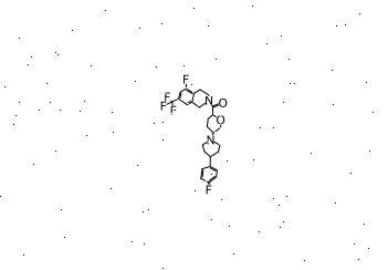 O=C(C1CCC(N2CCC(c3ccc(F)cc3)CC2)CO1)N1CCc2c(F)cc(C(F)(F)F)cc2C1